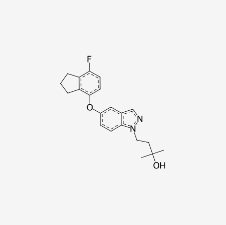 CC(C)(O)CCn1ncc2cc(Oc3ccc(F)c4c3CCC4)ccc21